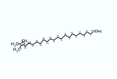 [CH2]CCCCCCCCCCCCCCCCCCCCCCCCCCC[CH2][Ge]([CH3])([CH3])[CH3]